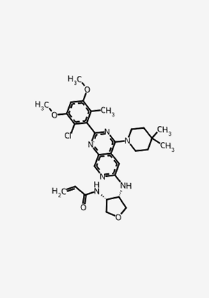 C=CC(=O)N[C@H]1COC[C@H]1Nc1cc2c(N3CCC(C)(C)CC3)nc(-c3c(C)c(OC)cc(OC)c3Cl)nc2cn1